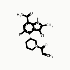 C=CC(=O)N1CCC[C@H](c2c(F)cc(C(N)=O)c3[nH]c(C)c(Cl)c23)C1